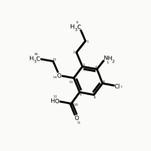 CCCc1c(N)c(Cl)cc(C(=O)O)c1OCC